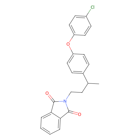 CC(CCN1C(=O)c2ccccc2C1=O)c1ccc(Oc2ccc(Cl)cc2)cc1